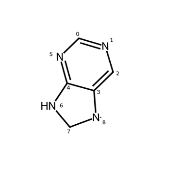 c1ncc2c(n1)NC[N]2